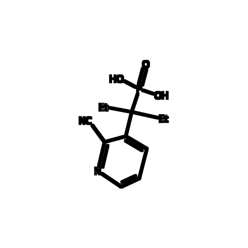 CCC(CC)(c1cccnc1C#N)P(=O)(O)O